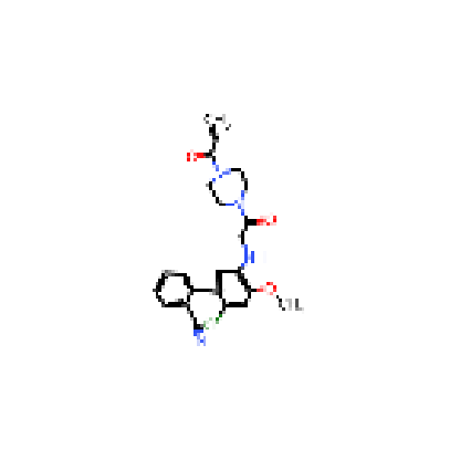 C=CC(=O)N1CCN(C(=O)CNc2cc(-c3ccccc3C#N)c(Cl)cc2OC)CC1